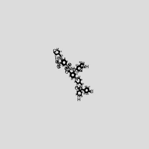 O=C(NS(=O)(=O)c1ccc(NCC2CCOCC2)c([N+](=O)[O-])c1)c1ccc(N2CCC(CN3C(=O)C4(CCNCC4)C3c3ccc(Cl)cc3)CC2)cc1Oc1cnc2[nH]ccc2c1